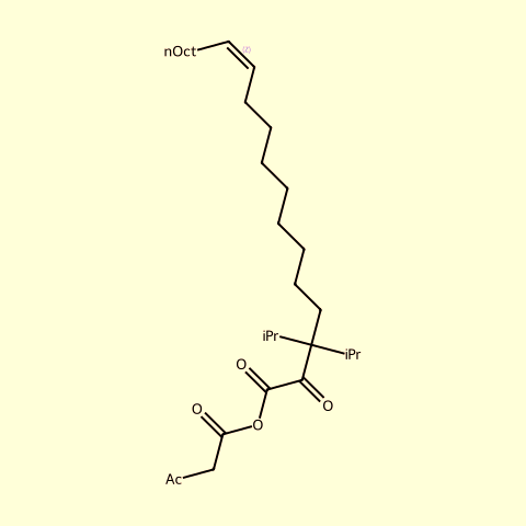 CCCCCCCC/C=C\CCCCCCCCC(C(=O)C(=O)OC(=O)CC(C)=O)(C(C)C)C(C)C